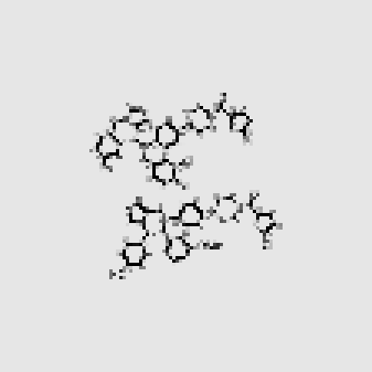 COc1cccc(CN(Cc2cncn2Cc2ccc(C#N)cc2)c2ccc(N3CCN(C(=O)c4ccc(Cl)s4)CC3)cc2)c1.N#Cc1ccc(Cn2cncc2CN(Cc2ccc(Cl)c(Cl)c2)c2ccc(N3CCN(C(=O)c4ccc(Cl)s4)CC3)cc2)cc1